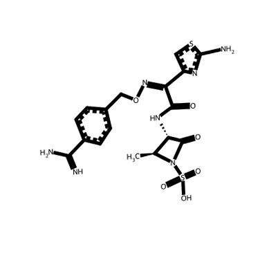 C[C@H]1[C@H](NC(=O)/C(=N\OCc2ccc(C(=N)N)cc2)c2csc(N)n2)C(=O)N1S(=O)(=O)O